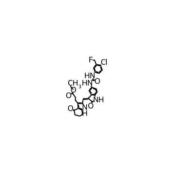 CCOC(=O)CCc1c(/C=C2\C(=O)Nc3ccc(NC(=O)Nc4ccc(Cl)c(CF)c4)cc32)[nH]c2c1C(=O)CCC2